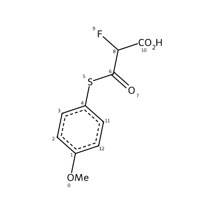 COc1ccc(SC(=O)C(F)C(=O)O)cc1